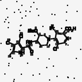 COC1CN(c2c(Cl)cnc(C(=O)O)c2C(C)C)CCC1NC(=O)c1[nH]c(C)c(Cl)c1Cl